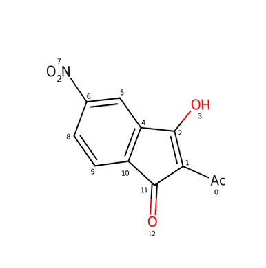 CC(=O)C1=C(O)c2cc([N+](=O)[O-])ccc2C1=O